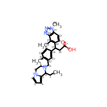 CCC1c2cccn2CCN1Cc1cc(C(CC(=O)O)c2ccc3c(nnn3C)c2C)ccc1C